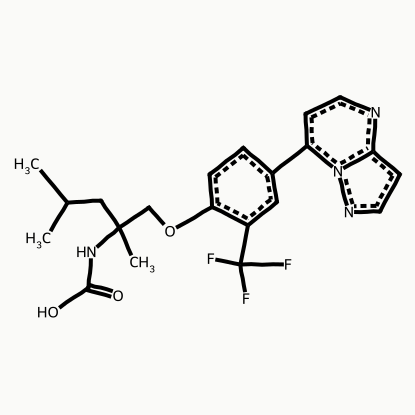 CC(C)CC(C)(COc1ccc(-c2ccnc3ccnn23)cc1C(F)(F)F)NC(=O)O